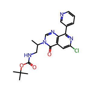 CC(CNC(=O)OC(C)(C)C)n1cnc2c(-c3cccnc3)nc(Cl)cc2c1=O